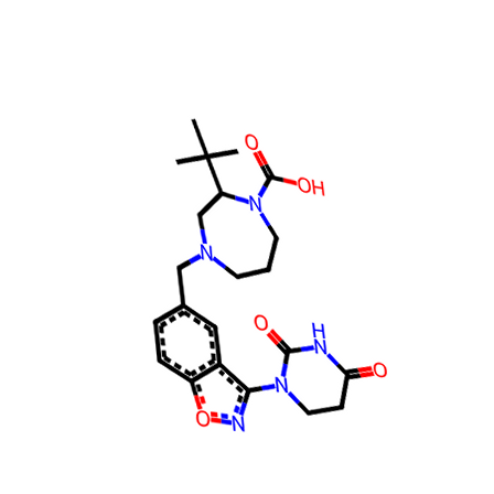 CC(C)(C)C1CN(Cc2ccc3onc(N4CCC(=O)NC4=O)c3c2)CCCN1C(=O)O